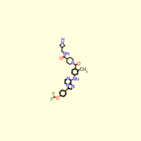 Cc1cc(Nc2nccn3c(-c4ccc(OC(F)F)cc4)cnc23)ccc1C(=O)N1CCC(C(=O)NCC2CNC2)CC1